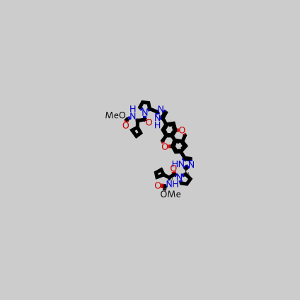 COC(=O)N[C@H](C(=O)N1CCCC1c1ncc(-c2cc3c4c(c2)OCc2cc(-c5cnc([C@@H]6CCCN6C(=O)[C@@H](NC(=O)OC)C6CCC6)[nH]5)cc(c2-4)OC3)[nH]1)C1CCC1